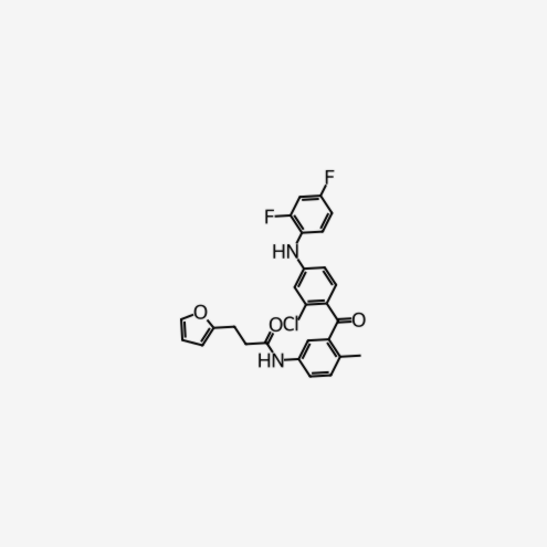 Cc1ccc(NC(=O)CCc2ccco2)cc1C(=O)c1ccc(Nc2ccc(F)cc2F)cc1Cl